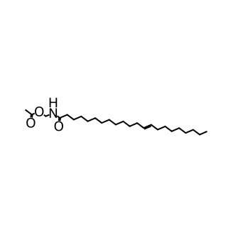 CCCCCCCCC=CCCCCCCCCCCCC(=O)NCOC(C)=O